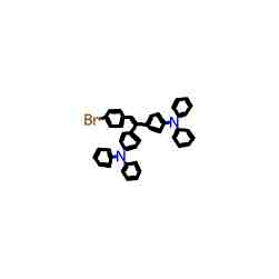 Brc1ccc(C=C(c2ccc(N(c3ccccc3)c3ccccc3)cc2)c2ccc(N(c3ccccc3)c3ccccc3)cc2)cc1